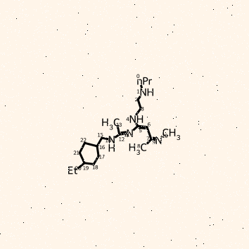 CCCNCCNC(=C/C(C)=N\C)/N=C(\C)NCC1CCC(CC)CC1